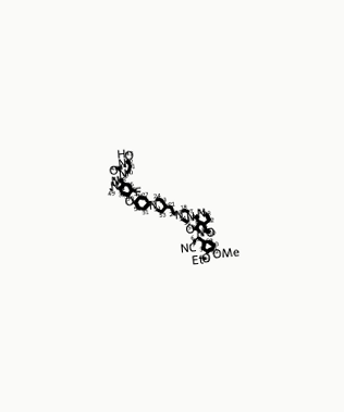 CCOc1cc([C@@H](CC#N)N2C(=O)c3ccnc(N4CCN(CCC5CCN(c6ccc(Oc7cc8c(cc7F)c(N7CCC(=O)NC7=O)nn8C)cc6)CC5)CC4)c3C2=O)ccc1OC